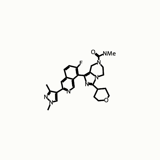 CNC(=O)N1CCn2c(C3CCOCC3)nc(-c3c(F)ccc4cc(-c5cn(C)nc5C)ncc34)c2C1